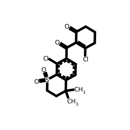 CC1(C)CCS(=O)(=O)c2c1ccc(C(=O)C1=C(Cl)CCCC1=O)c2Cl